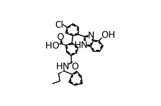 CCC[C@@H](NC(=O)c1ccc(-c2cc(Cl)ccc2-c2nc3c(O)cccc3[nH]2)c(C(=O)O)c1)c1ccccc1